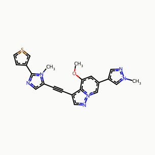 COc1cc(-c2cnn(C)c2)cn2ncc(C#Cc3cnc(-c4ccsc4)n3C)c12